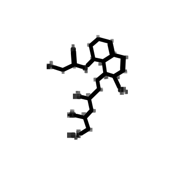 CC(C)CC(=O)OC1CCC=C2C=CC(C)C(CCC(O)CC(O)CC(=O)O)C21